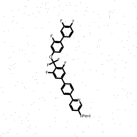 CCCCCc1ccc(-c2ccc(-c3cc(F)c(C(F)(F)Oc4ccc(-c5ccc(F)c(F)c5)c(F)c4)c(F)c3)cc2)nc1